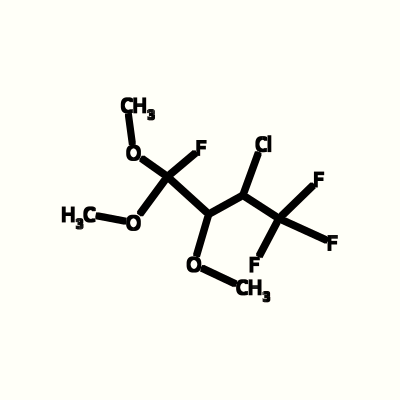 COC(C(Cl)C(F)(F)F)C(F)(OC)OC